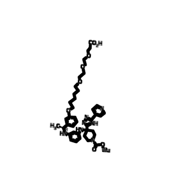 C[C@@H](Nc1cccc(NC2(c3nnc(-c4ccncc4)[nH]3)CCN(C(=O)OC(C)(C)C)CC2)c1)c1cccc(OCCCCCCOCCOCCOCCC(=O)O)c1